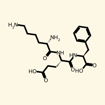 NCCCC[C@H](N)C(=O)N[C@@H](CCC(=O)O)C(=O)N[C@@H](Cc1ccccc1)C(=O)O